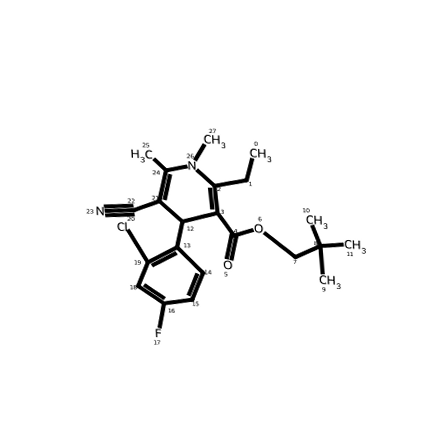 CCC1=C(C(=O)OCC(C)(C)C)C(c2ccc(F)cc2Cl)C(C#N)=C(C)N1C